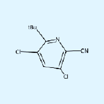 CC(C)(C)c1nc(C#N)c(Cl)cc1Cl